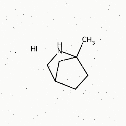 CC12CCC(CN1)C2.I